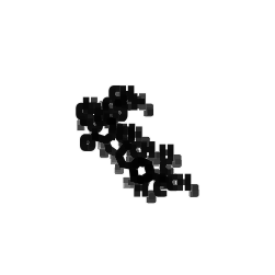 CCOC(=O)[C@H](C[C@H](Cc1ccc(C(C)(C)C)cc1)C(C)C)NC(=O)OC(C)(C)C